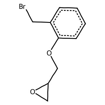 BrCc1ccccc1OCC1CO1